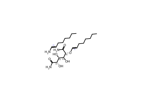 CCCCCC/C=C/N.CCCCCC/C=C/O[C@@H](C(N)=O)[C@@H](O)[C@H](O)[C@H](O)C(N)=O